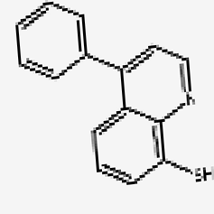 Sc1cccc2c(-c3ccccc3)ccnc12